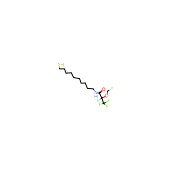 O=C(NCCCCCCCCCCS)C(F)(OCF)C(F)(F)F